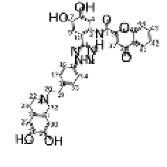 O=C(Nc1cc(O)c(O)cc1-c1nnn(-c2ccc(CCN3CCc4cc(O)c(O)cc4C3)cc2)n1)c1cc(=O)c2ccccc2o1